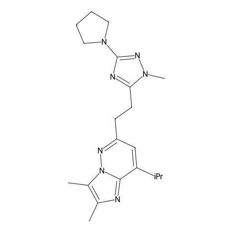 Cc1nc2c(C(C)C)cc(CCc3nc(N4CCCC4)nn3C)nn2c1C